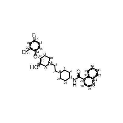 O=C(N[C@H]1CC[C@H](CCN2CC[C@@H](Oc3ccc(F)cc3Cl)[C@H](O)C2)CC1)c1ccnc2ccccc12